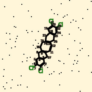 Clc1cc2c(cc1Cl)CC1=C(/C=C\C3=C(CC1)Cc1cc(Cl)c(Cl)cc1C3)C2